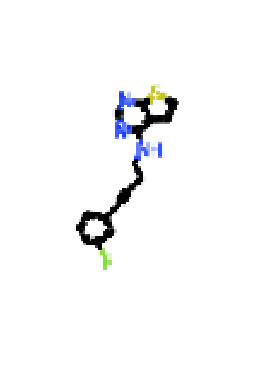 Fc1cccc(C#CCCNc2ncnc3sccc23)c1